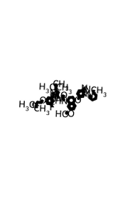 CC1CCCCN1c1nnc2ccc(O[C@@H]3CC[C@H](NC(=O)Nc4cc(C(C)(C)C)nn4-c4cc(F)cc(OCCN(C)C)c4)c4ccccc43)cn12.O=CO